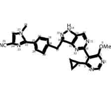 COc1ncnc(C2CC2)c1-c1ncc2[nH]nc(Cc3ccc(-c4nc(C#N)cn4C)cc3)c2n1